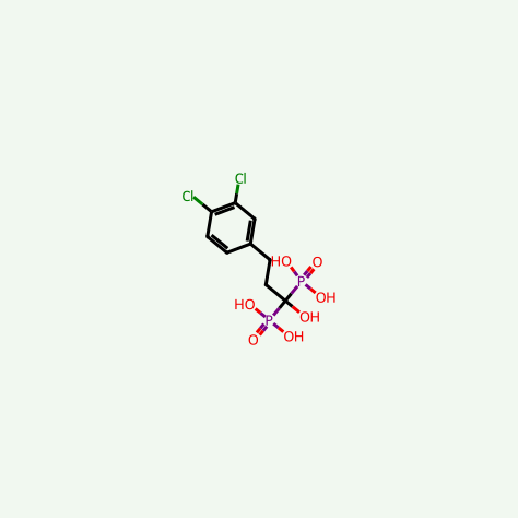 O=P(O)(O)C(O)(CCc1ccc(Cl)c(Cl)c1)P(=O)(O)O